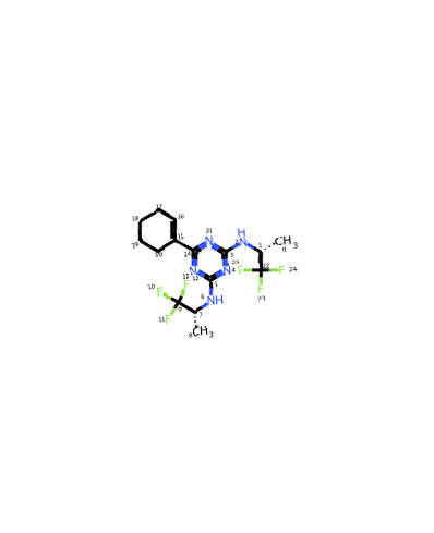 C[C@@H](Nc1nc(N[C@H](C)C(F)(F)F)nc(C2=CCCCC2)n1)C(F)(F)F